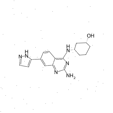 Nc1nc(N[C@H]2CCC[C@@H](O)C2)c2ccc(-c3ccn[nH]3)cc2n1